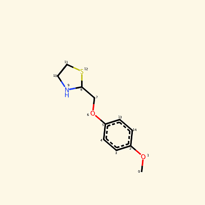 COc1ccc(OCC2NCCS2)cc1